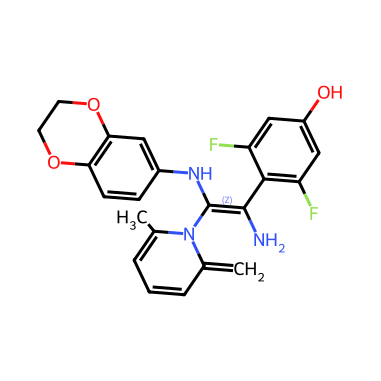 C=C1C=CC=C(C)N1/C(Nc1ccc2c(c1)OCCO2)=C(\N)c1c(F)cc(O)cc1F